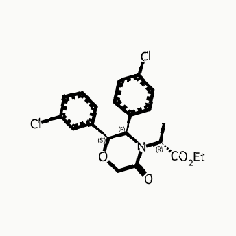 CCOC(=O)[C@@H](C)N1C(=O)CO[C@@H](c2cccc(Cl)c2)[C@H]1c1ccc(Cl)cc1